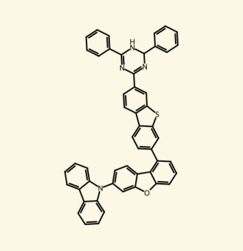 c1ccc(C2=NC(c3ccc4c(c3)sc3cc(-c5cccc6oc7cc(-n8c9ccccc9c9ccccc98)ccc7c56)ccc34)=NC(c3ccccc3)N2)cc1